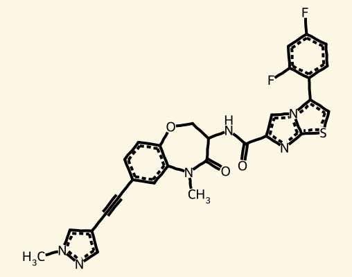 CN1C(=O)C(NC(=O)c2cn3c(-c4ccc(F)cc4F)csc3n2)COc2ccc(C#Cc3cnn(C)c3)cc21